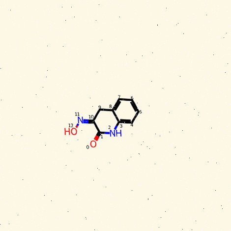 O=C1Nc2ccccc2C/C1=N/O